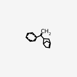 C=C(c1ccccc1)C1CC2=CCC1C2